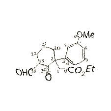 CCOC(=O)CC1(c2cccc(OC)c2)CCCC(C=O)C1=O